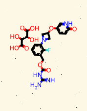 N=C(N)NC(=O)OCc1cccc(N2CC(Oc3ccc(=O)[nH]c3)C2)c1F.O=C(O)C(O)C(O)C(=O)O